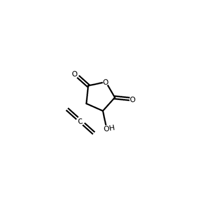 C=C=C.O=C1CC(O)C(=O)O1